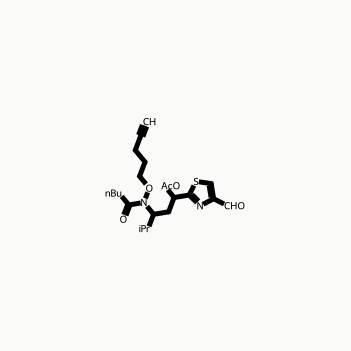 C#CCCCON(C(=O)CCCC)C(CC(OC(C)=O)c1nc(C=O)cs1)C(C)C